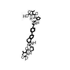 COC(=O)N[C@H](C(=O)N1CCC[C@H]1c1nc2c([nH]1)-c1ccc(-c3ccc(-c4cnc([C@H]5CCC[C@@H]5N(C)C(=O)[C@@H](NC(=O)O)C(C)C)[nH]4)cc3)cc1CC2)C(C)C